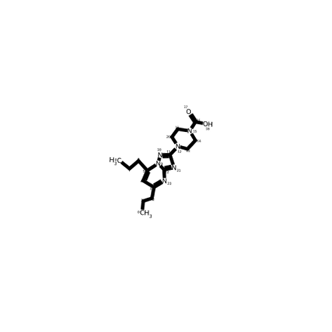 CCCc1cc(CCC)n2nc(N3CCN(C(=O)O)CC3)nc2n1